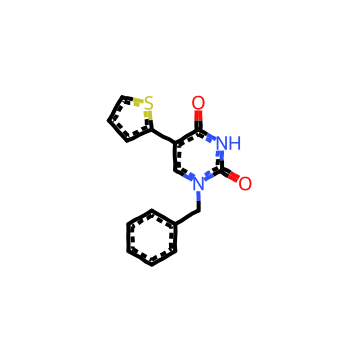 O=c1[nH]c(=O)n(Cc2ccccc2)cc1-c1cccs1